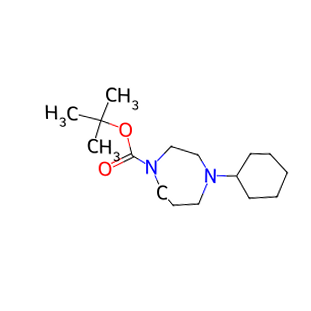 CC(C)(C)OC(=O)N1CCCN(C2CCCCC2)CC1